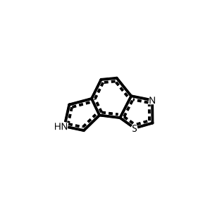 c1nc2ccc3c[nH]cc3c2s1